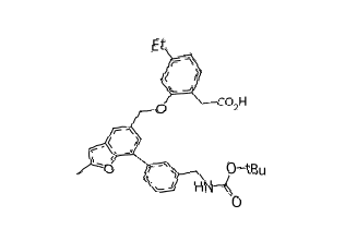 CCc1ccc(CC(=O)O)c(OCc2cc(-c3cccc(CNC(=O)OC(C)(C)C)c3)c3oc(C)cc3c2)c1